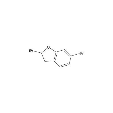 CC(C)c1ccc2c(c1)OC(C(C)C)C2